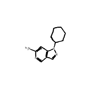 Nc1cc2c(cn1)cnn2C1CCCCC1